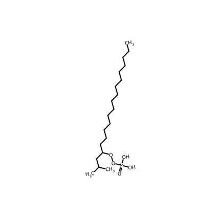 CCCCCCCCCCCCCCCC(CC(C)C)OOP(=O)(O)O